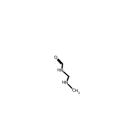 CN[CH]NC=O